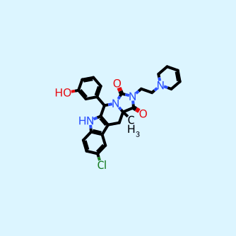 CC12Cc3c([nH]c4ccc(Cl)cc34)C(c3cccc(O)c3)N1C(=O)N(CCN1CC=CCC1)C2=O